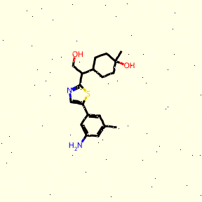 Cc1cc(N)cc(-c2cnc(C(CO)C3CCC(C)(O)CC3)s2)c1